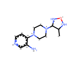 CC1NONC1N1CCN(c2ccncc2N)CC1